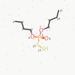 CCCCOP(=O)(OCCCC)SS